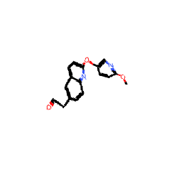 COc1ccc(Oc2ccc3cc(CC=O)ccc3n2)cn1